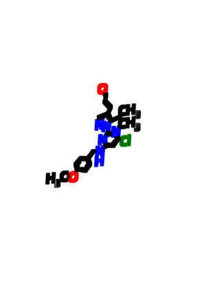 COc1ccc(CNc2cc(Cl)nc(-n3ncc(/C=C/C=O)c3C(C)C)n2)cc1